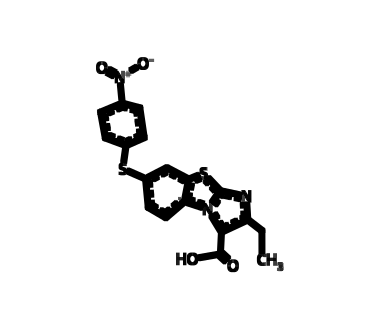 CCc1nc2sc3cc(Sc4ccc([N+](=O)[O-])cc4)ccc3n2c1C(=O)O